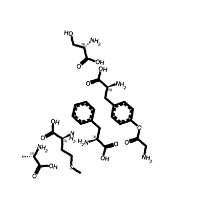 CSCC[C@H](N)C(=O)O.C[C@H](N)C(=O)O.NCC(=O)Oc1ccc(C[C@H](N)C(=O)O)cc1.N[C@@H](CO)C(=O)O.N[C@@H](Cc1ccccc1)C(=O)O